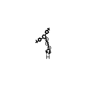 CC1(C)CC(OCCOCCOC2C=C(c3ccc(C(C)(C)C)cc3)C=CC(c3ccc(C(C)(C)C)cc3)=C2)CC(C)(C)N1